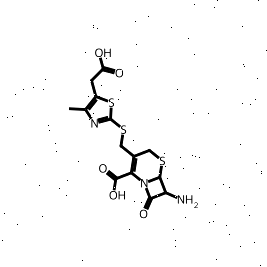 Cc1nc(SCC2=C(C(=O)O)N3C(=O)C(N)C3SC2)sc1CC(=O)O